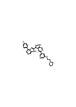 Fc1ccc(-c2cncc3[nH]c(-c4n[nH]c5cnc(-c6cncc(OCCN7CCCC7)c6)cc45)nc23)cc1